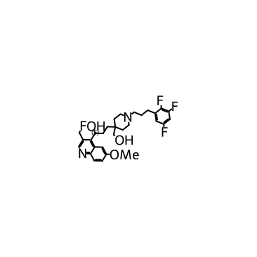 COc1ccc2ncc(CF)c([C@@H](O)CCC3(CO)CCN(CCCc4cc(F)cc(F)c4F)CC3)c2c1